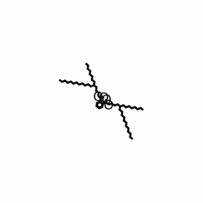 CCCCCCCCCCCCC(CCCCCCCC)CCCOC(=O)c1ccccc1C(=O)OCCCC(CCCCCCCC)CCCCCCCCCCCC